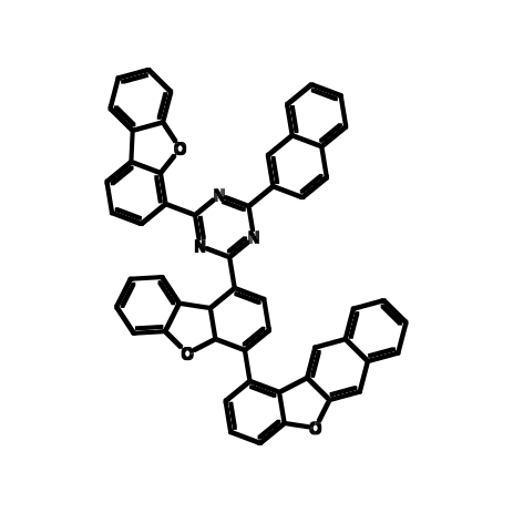 C1=C(c2cccc3oc4cc5ccccc5cc4c23)C2Oc3ccccc3C2C(c2nc(-c3ccc4ccccc4c3)nc(-c3cccc4c3oc3ccccc34)n2)=C1